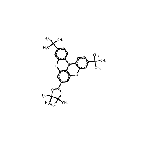 CC(C)(C)c1ccc2c(c1)Oc1cc(B3OC(C)(C)C(C)(C)O3)cc3c1B2c1ccc(C(C)(C)C)cc1O3